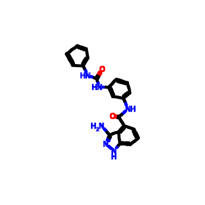 Nc1n[nH]c2cccc(C(=O)Nc3cccc(NC(=O)Nc4ccccc4)c3)c12